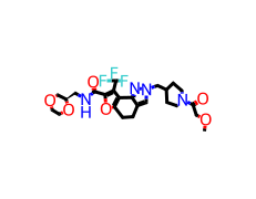 COCC(=O)N1CCC(Cn2cc3c(n2)-c2c(oc(C(=O)NC[C@@H]4COCCO4)c2C(F)(F)F)CC3)CC1